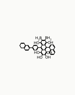 Bc1c(B)c(O)c2c(-c3cccc4ccccc34)c3c(O)c(O)c(O)c(O)c3c(-c3ccc(-c4ccc5c(c4)C=CCC5)cc3)c2c1O